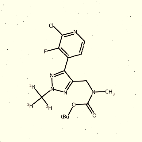 [2H]C([2H])([2H])n1nc(CN(C)C(=O)OC(C)(C)C)c(-c2ccnc(Cl)c2F)n1